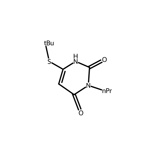 CCCn1c(=O)cc(SC(C)(C)C)[nH]c1=O